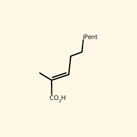 CCCC(C)CC/C=C(\C)C(=O)O